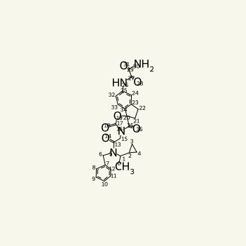 CC(C1CC1)N(Cc1ccccc1)C(=O)CN1C(=O)OC2(CCc3cc(NC(=O)C(N)=O)ccc32)C1=O